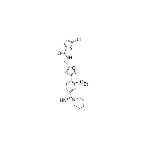 CCOc1cc(C(=N)N2CCCCC2)ccc1-c1cc(CNC(=O)c2ccc(Cl)s2)on1